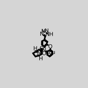 CC(C)(C)OC(=O)N1[C@@H]2CC[C@H]1C[C@@H](N1c3ccccc3Oc3cc(-c4nnn[nH]4)ccc31)C2